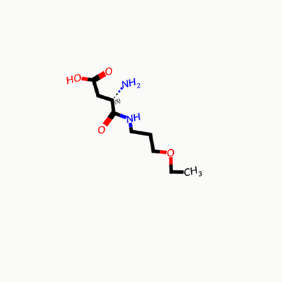 CCOCCCNC(=O)[C@@H](N)CC(=O)O